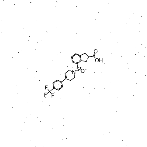 O=C(O)C1Cc2cccc([S+]([O-])N3CC=C(c4ccc(C(F)(F)F)cc4)CC3)c2C1